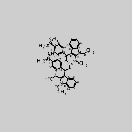 CCc1c(C(COCC(c2ccc(N(C)C)cc2)c2c(CC)n(CC)c3ccccc23)c2ccc(N(C)C)cc2)c2ccccc2n1CC